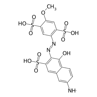 COc1cc(S(=O)(=O)O)c(N=Nc2c(S(=O)(=O)O)cc3cc([NH])ccc3c2O)cc1S(=O)(=O)O